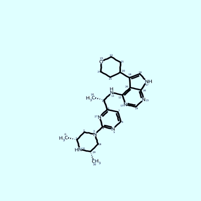 C[C@@H]1CN(c2nccc([C@H](C)Nc3ncnc4[nH]cc(C5CCOCC5)c34)n2)C[C@H](C)N1